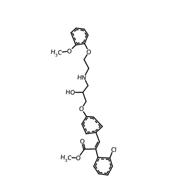 COC(=O)C(=Cc1ccc(OCC(O)CNCCOc2ccccc2OC)cc1)c1ccccc1Cl